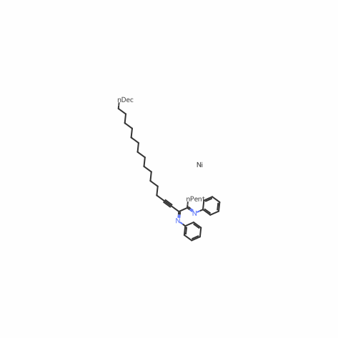 CCCCCCCCCCCCCCCCCCCCCCCC#CC(=Nc1ccccc1)C(CCCCC)=Nc1ccccc1.[Ni]